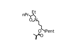 C=C(C)C(=O)OC(CCCN1COC(CCC)C(CC)C1)C(C)CCC